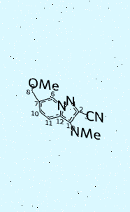 CNc1c(C#N)nn2cc(COC)ccc12